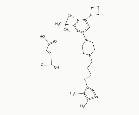 Cc1nnc(SCCCN2CCN(c3cc(C4CCC4)nc(C(C)(C)C)n3)CC2)n1C.O=C(O)C=CC(=O)O